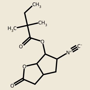 [C-]#[N+]C1CC2CC(=O)OC2C1OC(=O)C(C)(C)CC